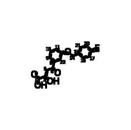 O=C(O)/C(O)=C/C(=O)c1cccc(OCc2ccc(F)cc2)c1